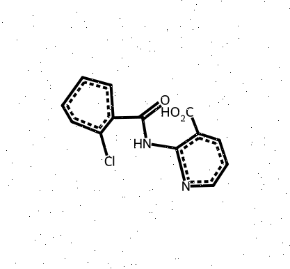 O=C(Nc1ncccc1C(=O)O)c1ccccc1Cl